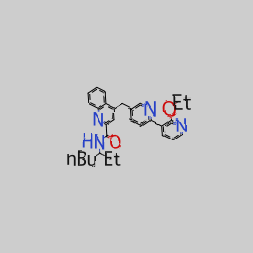 CCCCC(CC)NC(=O)c1cc(Cc2ccc(-c3cccnc3OCC)nc2)c2ccccc2n1